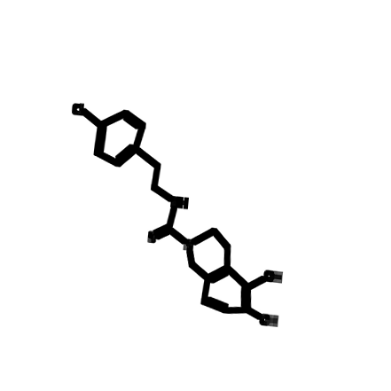 Oc1ccc2c(c1O)CCN(C(=S)NCCc1ccc(Cl)cc1)C2